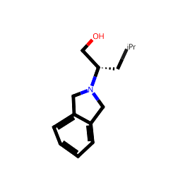 CC(C)C[C@@H](CO)N1Cc2ccccc2C1